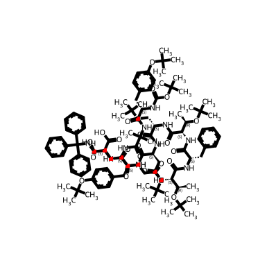 C[C@@H](OC(C)(C)C)[C@H](NC(=O)CNC(=O)[C@H](CCC(=O)NC(c1ccccc1)(c1ccccc1)c1ccccc1)NC(=O)C(C)(C)NC(=O)[C@H](Cc1ccc(OC(C)(C)C)cc1)NC(=O)OC(C)(C)C)C(=O)N[C@@H](Cc1ccccc1)C(=O)N[C@H](C(=O)N[C@@H](COC(C)(C)C)C(=O)N[C@@H](CC(=O)OC(C)(C)C)C(=O)N[C@@H](Cc1ccc(OC(C)(C)C)cc1)C(=O)N[C@@H](CO)C(=O)O)[C@@H](C)OC(C)(C)C